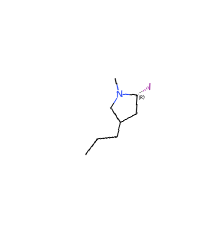 CCCC1C[C@@H](I)N(C)C1